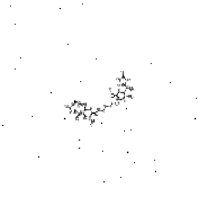 C=Nc1cc(OCCCCCOc2cc3c(cc2OC)C(=O)N2CC(=C)C[C@H]2C=N3)c(OC)cc1C(=O)N1CCC(=C)C1